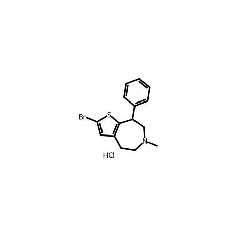 CN1CCc2cc(Br)sc2C(c2ccccc2)C1.Cl